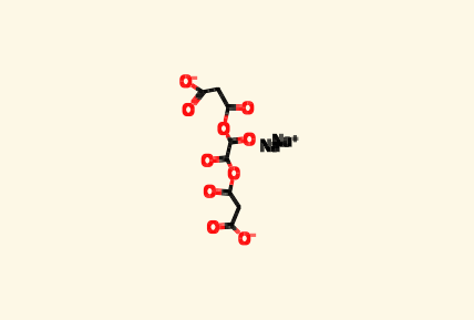 O=C([O-])CC(=O)OC(=O)C(=O)OC(=O)CC(=O)[O-].[Na+].[Na+]